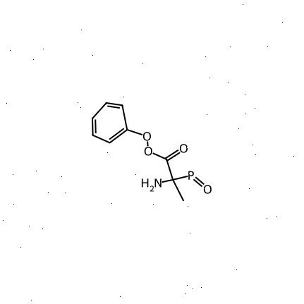 CC(N)(P=O)C(=O)OOc1ccccc1